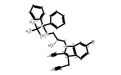 C[C@H](CO[Si](c1ccccc1)(c1ccccc1)C(C)(C)C)Cn1c(C#N)c(CC#N)c2ccc(Br)cc21